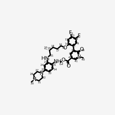 COC(=O)c1cc(-c2cc(F)c(F)cc2OCCC[C@@H](C)CNc2cc(N3CCN(C)CC3)ccc2N)c(=O)n(C)c1